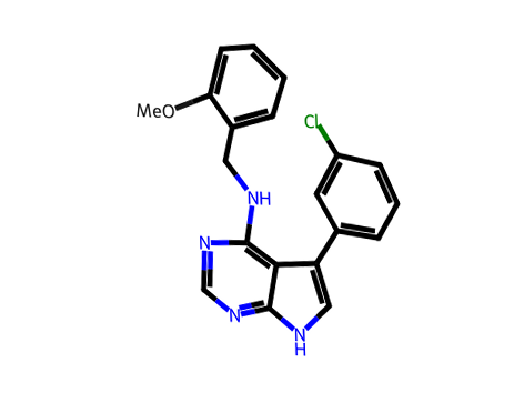 COc1ccccc1CNc1ncnc2[nH]cc(-c3cccc(Cl)c3)c12